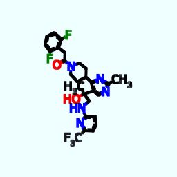 Cc1ncc(C(C)(O)CNc2cccc(C(F)(F)F)n2)c(C2CCN(C(=O)Cc3c(F)cccc3F)CC2)n1